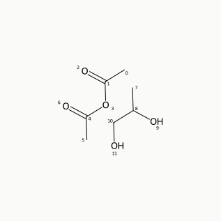 CC(=O)OC(C)=O.CC(O)CO